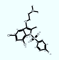 Cc1c(OCCN(C)C)c2cc(Cl)cc(Cl)c2n1S(=O)(=O)c1ccc(F)cc1